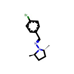 C[C@@H]1CC[C@@H](C)N1N=Cc1ccc(Br)cc1